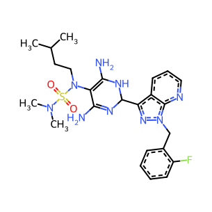 CC(C)CCN(C1=C(N)NC(c2nn(Cc3ccccc3F)c3ncccc23)N=C1N)S(=O)(=O)N(C)C